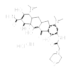 CN(C)c1cc(NC(=O)CN2CCSCC2)c(O)c2c1CC1CC3[C@H](N(C)C)C(O)=C(C(N)=O)C(=O)[C@@]3(O)C(O)=C1C2=O.Cl.Cl